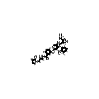 COc1ccccc1-n1c(-c2nonc2N)nc2cnc(Oc3cccc(C(=O)NCCCN4CCCC4=O)c3)cc21